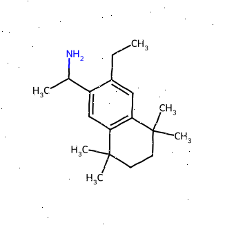 CCc1cc2c(cc1C(C)N)C(C)(C)CCC2(C)C